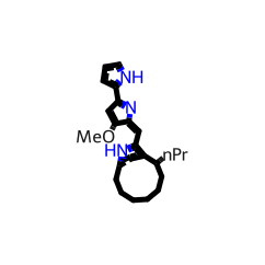 CCCC1CCCCCCc2cc1c(/C=C1/N=C(c3ccc[nH]3)C=C1OC)[nH]2